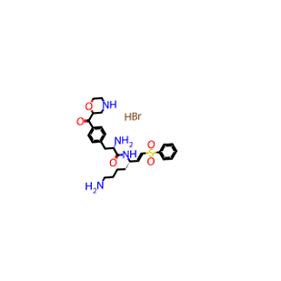 Br.NCCCC[C@@H](C=CS(=O)(=O)c1ccccc1)NC(=O)[C@@H](N)Cc1ccc(C(=O)C2CNCCO2)cc1